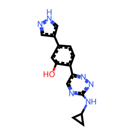 Oc1cc(-c2cn[nH]c2)ccc1-c1cnc(NC2CC2)nn1